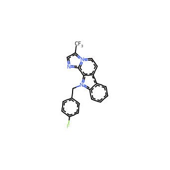 Fc1ccc(Cn2c3ccccc3c3ccn4c(C(F)(F)F)cnc4c32)cc1